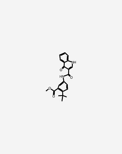 COC(=O)c1cc(NC(=O)c2c[nH]c3ccccc3c2=O)ccc1C(C)(C)C